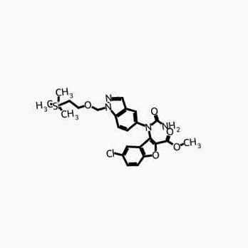 COC(=O)c1oc2ccc(Cl)cc2c1N(C(N)=O)c1ccc2c(cnn2COCC[Si](C)(C)C)c1